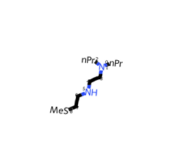 CCCN(CCC)CCNCCSC